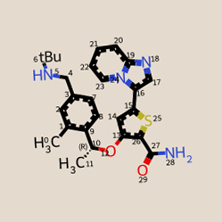 Cc1cc(CNC(C)(C)C)ccc1[C@@H](C)Oc1cc(-c2cnc3ccccn23)sc1C(N)=O